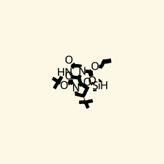 C=CCOC(=O)N1CC(=O)NCC1[C@@]1(O[SiH](C)C)C[C@H](C(C)(C)C)CN1C(=O)OC(C)(C)C